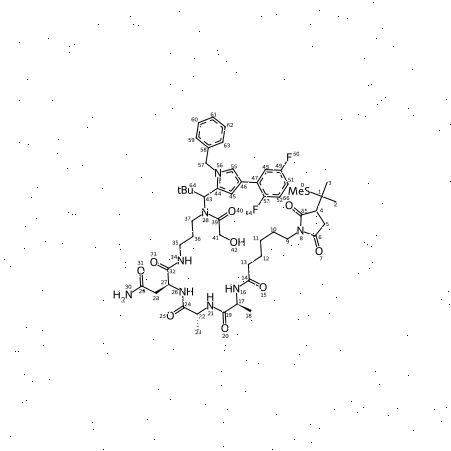 CSC(C)(C)C1CC(=O)N(CCCCCC(=O)N[C@@H](C)C(=O)N[C@H](C)C(=O)N[C@@H](CC(N)=O)C(=O)NCCCN(C(=O)CO)C(c2cc(-c3cc(F)ccc3F)cn2Cc2ccccc2)C(C)(C)C)C1=O